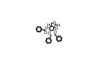 O=C(O[C@@H]1[C@H]2CON[C@H]2[C@H](OCc2ccccc2)[C@@H]1OCc1ccccc1)c1ccccc1